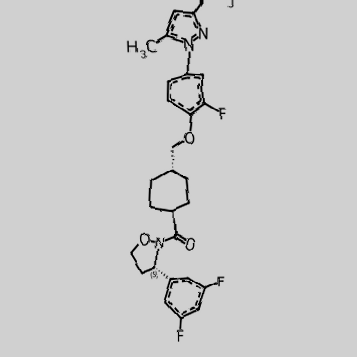 Cc1cc(C)n(-c2ccc(OC[C@H]3CC[C@H](C(=O)N4OCC[C@H]4c4cc(F)cc(F)c4)CC3)c(F)c2)n1